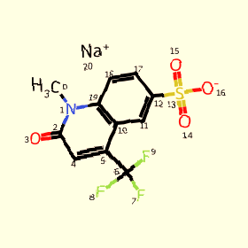 Cn1c(=O)cc(C(F)(F)F)c2cc(S(=O)(=O)[O-])ccc21.[Na+]